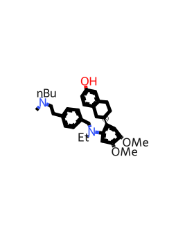 CCCCN(C)CCc1ccc(CN(CC)c2cc(OC)c(OC)cc2[C@@H]2CCc3cc(O)ccc3C2)cc1